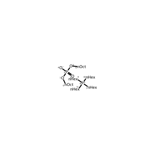 CCCCCCCCOP(=O)([O-])OCCCCCCCC.CCCCCC[P+](CCCCCC)(CCCCCC)CCCCCC